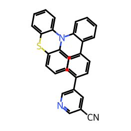 N#Cc1cncc(-c2ccc(-c3ccccc3N3c4ccccc4Sc4ccccc43)cc2)c1